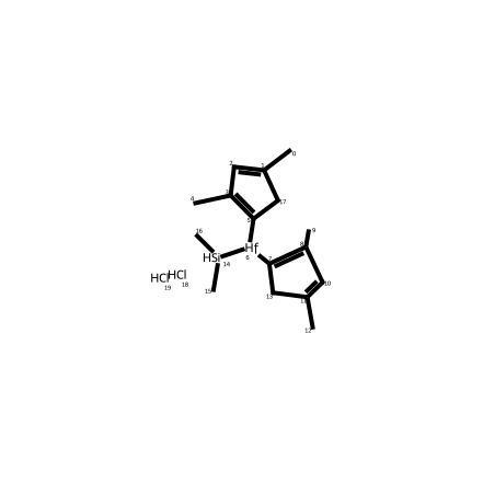 CC1=CC(C)=[C]([Hf]([C]2=C(C)C=C(C)C2)[SiH](C)C)C1.Cl.Cl